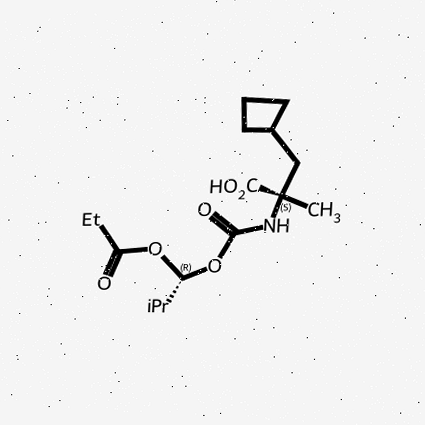 CCC(=O)O[C@H](OC(=O)N[C@@](C)(CC1CCC1)C(=O)O)C(C)C